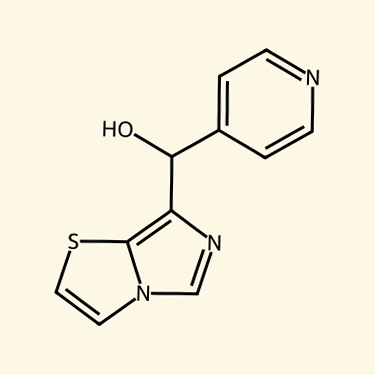 OC(c1ccncc1)c1ncn2ccsc12